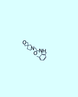 Cc1cccc(C)c1NC(=O)CN1CCC2(COC2)C1